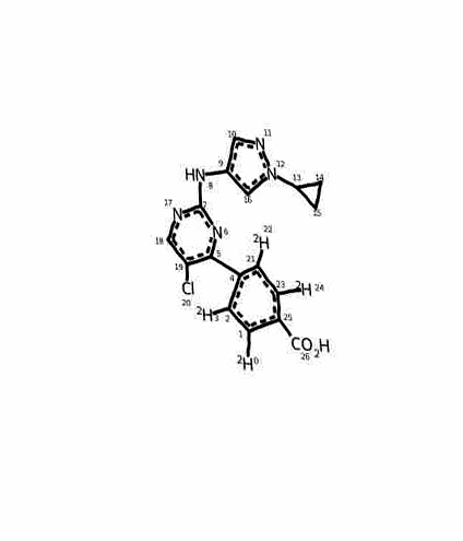 [2H]c1c([2H])c(-c2nc(Nc3cnn(C4CC4)c3)ncc2Cl)c([2H])c([2H])c1C(=O)O